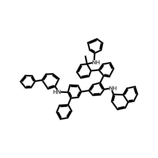 CC1(Nc2ccccc2)C=CC=CC1c1ccccc1-c1cc(-c2ccc(Nc3cccc(-c4ccccc4)c3)c(-c3ccccc3)c2)ccc1Nc1cccc2ccccc12